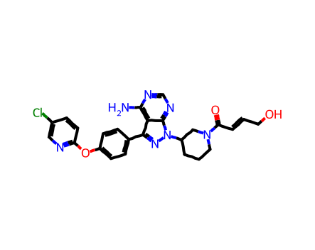 Nc1ncnc2c1c(-c1ccc(Oc3ccc(Cl)cn3)cc1)nn2C1CCCN(C(=O)/C=C/CO)C1